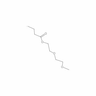 [CH2]CCC(=O)OCCOCCOC